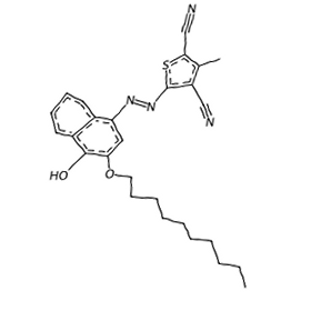 CCCCCCCCCCOc1cc(N=Nc2sc(C#N)c(C)c2C#N)c2ccccc2c1O